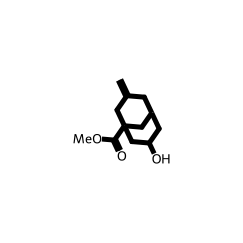 C=C1CC2CC(O)CC(C(=O)OC)(C1)C2